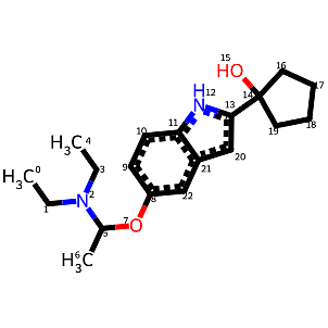 CCN(CC)C(C)Oc1ccc2[nH]c(C3(O)CCCC3)cc2c1